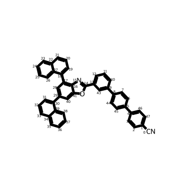 N#Cc1ccc(-c2ccc(-c3cccc(-c4nc5c(-c6cccc7ccccc67)cc(-c6cccc7ccccc67)cc5o4)c3)cc2)cc1